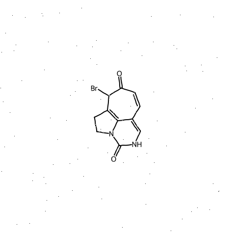 O=C1C=CC2=CNC(=O)N3CCC(=C23)C1Br